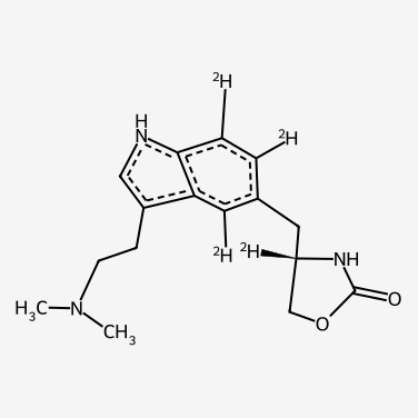 [2H]c1c(C[C@@]2([2H])COC(=O)N2)c([2H])c2c(CCN(C)C)c[nH]c2c1[2H]